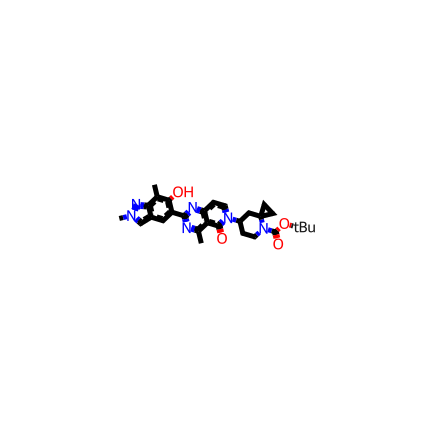 Cc1c(O)c(-c2nc(C)c3c(=O)n(C4CCN(C(=O)OC(C)(C)C)C5(CC5)C4)ccc3n2)cc2cn(C)nc12